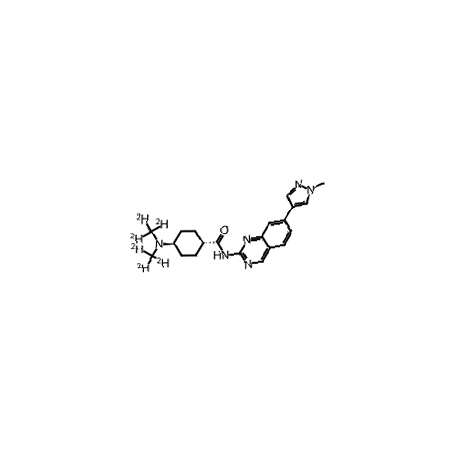 [2H]C([2H])([2H])N([C@H]1CC[C@H](C(=O)Nc2ncc3ccc(-c4cnn(C)c4)cc3n2)CC1)C([2H])([2H])[2H]